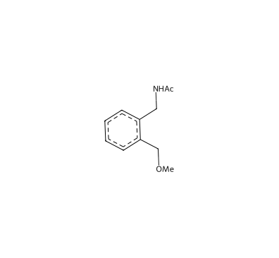 COCc1ccccc1CNC(C)=O